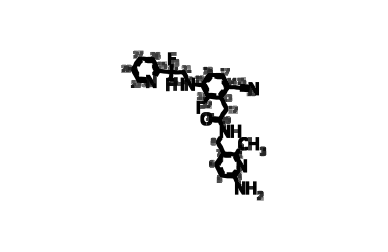 Cc1nc(N)ccc1CNC(=O)Cc1c(C#N)ccc(NCC(F)(F)c2ccccn2)c1F